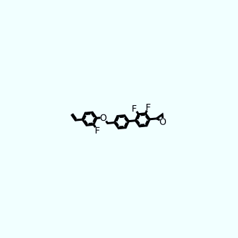 C=Cc1ccc(OCc2ccc(-c3ccc(C4CO4)c(F)c3F)cc2)c(F)c1